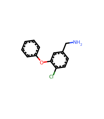 NCc1ccc(Cl)c(Oc2ccccc2)c1